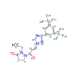 CCN1C(=O)CCN1C(=O)C=Cn1cnc(-c2cc(C(F)(F)F)cc(C(F)(F)F)c2)n1